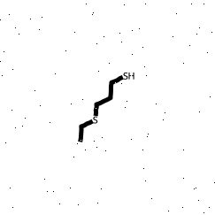 CCSCCCS